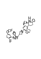 O=C1CCC(c2c(F)cc(N3CC(CC(=O)Nc4cc(OC(F)(F)F)ccc4F)C3)c3c2CCO3)C(=O)N1